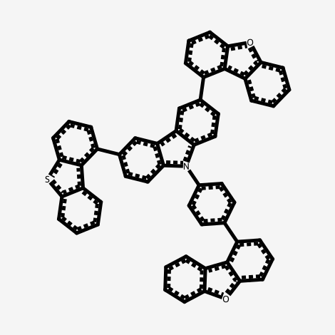 c1ccc2c(c1)oc1cccc(-c3ccc(-n4c5ccc(-c6cccc7oc8ccccc8c67)cc5c5cc(-c6cccc7sc8ccccc8c67)ccc54)cc3)c12